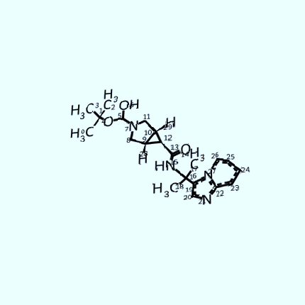 CC(C)(C)OC(O)N1C[C@@H]2[C@H](C1)[C@H]2C(=O)NC(C)(C)c1cnc2ccccn12